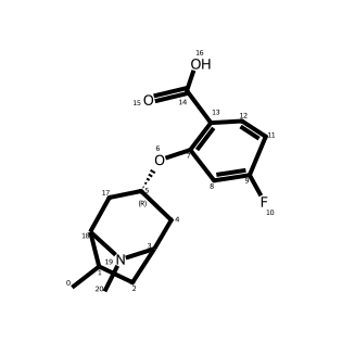 CC1CC2C[C@@H](Oc3cc(F)ccc3C(=O)O)CC1N2C